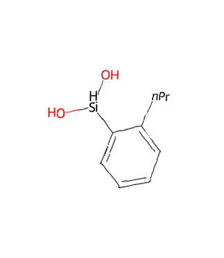 CCCc1ccccc1[SiH](O)O